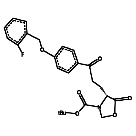 CC(C)(C)OC(=O)N1COC(=O)[C@H]1CCC(=O)c1ccc(OCc2ccccc2F)cc1